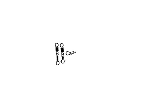 O=B[O-].O=B[O-].[Ca+2]